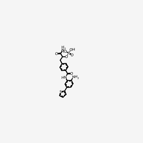 NC(=O)C(Cc1ccc(C(=O)Nc2cc(-c3cccs3)ccc2N)cc1)OP(=O)(O)O